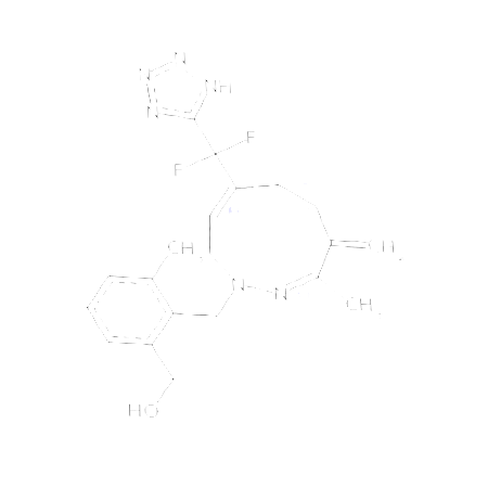 C=C1/C=C\C(C(F)(F)c2nnn[nH]2)=C/CN(Cc2c(C)cccc2CO)/N=C\1C